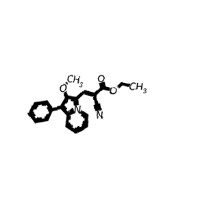 CCOC(=O)C(C#N)=Cc1c(OC)c(-c2ccccc2)c2ccccn12